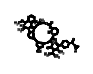 CCn1c(-c2cccnc2[C@H](C)OC)c2c3cc(ccc31)-c1cc(O)cc(c1)C[C@H](NC(=O)C(C(C)C)N(C)C(=O)N1CCN(C(=O)[C@H]3CN3)CC1)C(=O)N1CCC[C@H](N1)C(=O)OCC(C)(C)C2